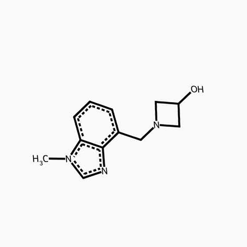 Cn1cnc2c(CN3CC(O)C3)cccc21